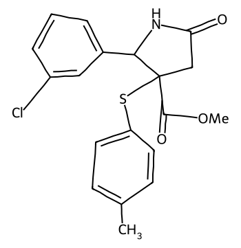 COC(=O)C1(Sc2ccc(C)cc2)CC(=O)NC1c1cccc(Cl)c1